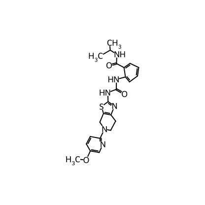 COc1ccc(N2CCc3nc(NC(=O)Nc4ccccc4C(=O)NC(C)C)sc3C2)nc1